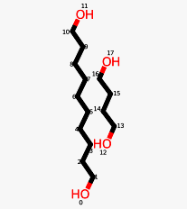 OCCCCCCCCCCO.OCCCCO